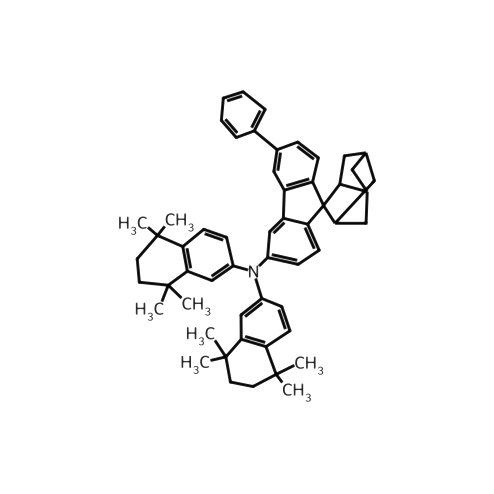 CC1(C)CCC(C)(C)c2cc(N(c3ccc4c(c3)-c3cc(-c5ccccc5)ccc3C43C4CC5CC(C4)C3C5)c3ccc4c(c3)C(C)(C)CCC4(C)C)ccc21